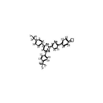 CC(C)(C)c1ccc(-c2cc(-c3ccc(C(C)(C)C)cc3)nc(-c3ccc(-c4ccc(Cl)cc4)nc3)n2)cc1